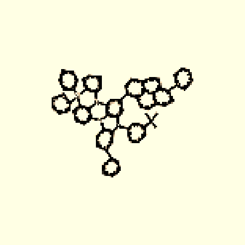 CC(C)(C)c1cccc(N2c3cc(-c4ccccc4)ccc3B3c4cccc5c4N(c4ccccc4[Si]5(c4ccccc4)c4ccccc4)c4cc(-c5ccc6ccc7c(-c8ccccc8)ccc8ccc5c6c87)cc2c43)c1